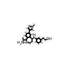 C/C(N)=C1/NCCC(Nc2cccc(CCO)c2)c2cc(-c3cnn(C)c3)ccc21